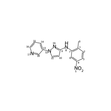 Cc1ccc([N+](=O)[O-])cc1Nc1ccn(-c2cccnc2)n1